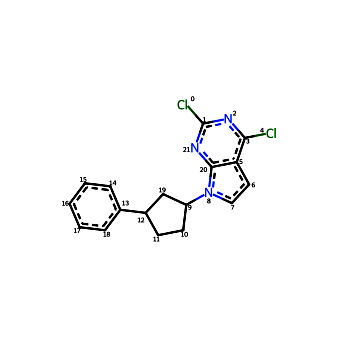 Clc1nc(Cl)c2ccn(C3CCC(c4ccccc4)C3)c2n1